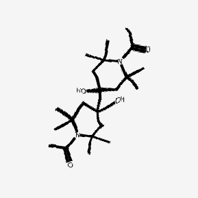 CC(=O)N1C(C)(C)CC(O)(C2(O)CC(C)(C)N(C(C)=O)C(C)(C)C2)CC1(C)C